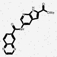 COC(=O)c1cc2cc(NC(=O)c3ccc4nccnc4c3)cnc2[nH]1